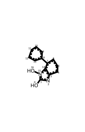 Oc1nc2cccc(-c3ccccc3)c2n1O